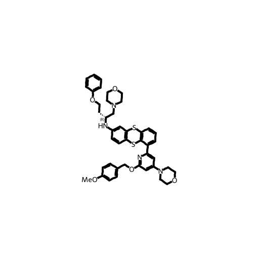 COc1ccc(COc2cc(N3CCOCC3)cc(-c3cccc4c3Sc3ccc(N[C@H](CCOc5ccccc5)CN5CCOCC5)cc3S4)n2)cc1